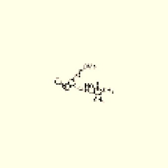 COCCOCc1cc(COCNCc2c(C)cc(C)[nH]c2=O)c2cnn(C3CCCC3)c2c1